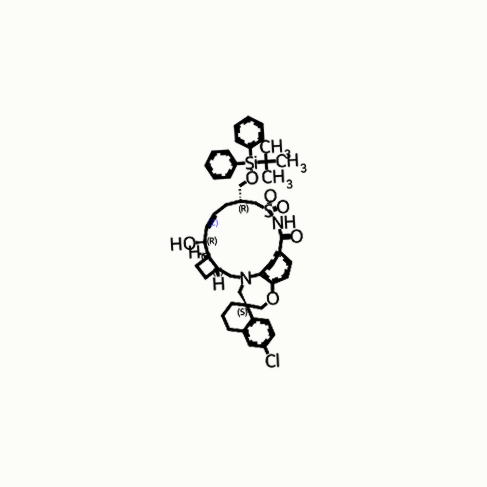 CC(C)(C)[Si](OC[C@H]1C/C=C\[C@H](O)[C@@H]2CC[C@H]2CN2C[C@@]3(CCCc4cc(Cl)ccc43)COc3ccc(cc32)C(=O)NS(=O)(=O)C1)(c1ccccc1)c1ccccc1